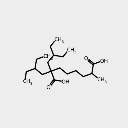 CCC(CC)CC(CCCCC(C)C(=O)O)(CC(CC)CC)C(=O)O